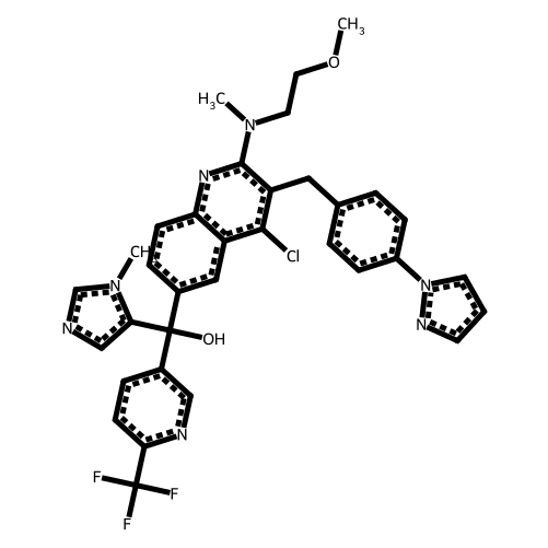 COCCN(C)c1nc2ccc(C(O)(c3ccc(C(F)(F)F)nc3)c3cncn3C)cc2c(Cl)c1Cc1ccc(-n2cccn2)cc1